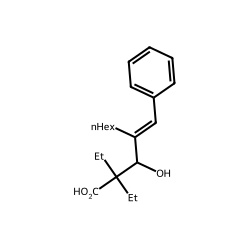 CCCCCC/C(=C\c1ccccc1)C(O)C(CC)(CC)C(=O)O